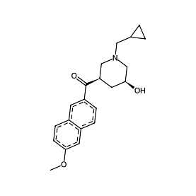 COc1ccc2cc(C(=O)[C@@H]3C[C@H](O)CN(CC4CC4)C3)ccc2c1